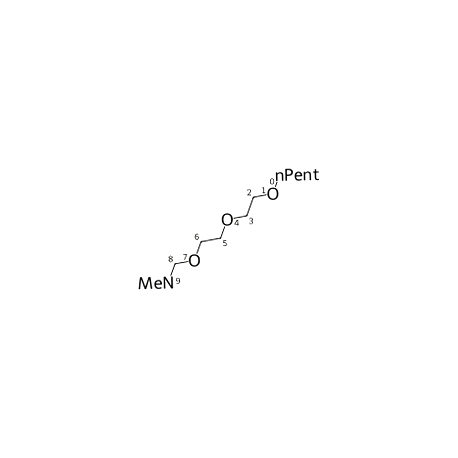 CCCCCOCCOCCOCNC